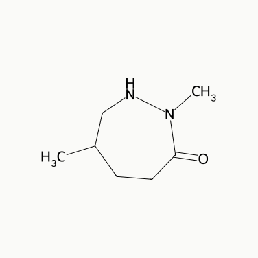 CC1CCC(=O)N(C)NC1